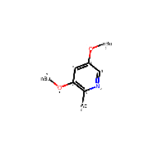 CCCCOc1cnc(C(C)=O)c(OCCCC)c1